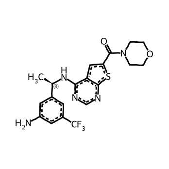 C[C@@H](Nc1ncnc2sc(C(=O)N3CCOCC3)cc12)c1cc(N)cc(C(F)(F)F)c1